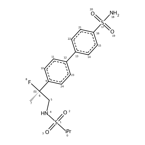 CC(C)S(=O)(=O)NC[C@@](C)(F)c1ccc(-c2ccc(S(N)(=O)=O)cc2)cc1